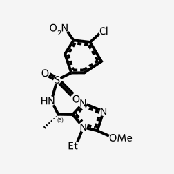 CCn1c(OC)nnc1[C@H](C)NS(=O)(=O)c1ccc(Cl)c([N+](=O)[O-])c1